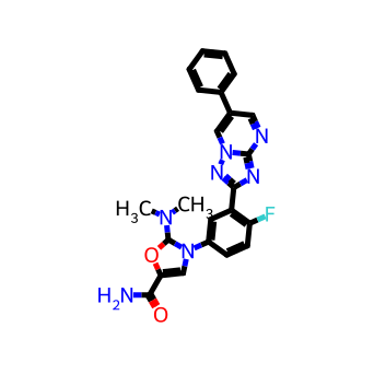 CN(C)C1OC(C(N)=O)=CN1c1ccc(F)c(-c2nc3ncc(-c4ccccc4)cn3n2)c1